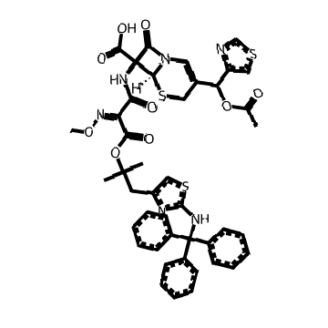 CON=C(C(=O)NC1(C(=O)O)C(=O)N2C=C(C(OC(C)=O)c3cscn3)CS[C@H]21)C(=O)OC(C)(C)Cc1csc(NC(c2ccccc2)(c2ccccc2)c2ccccc2)n1